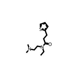 CCN(CCN(C)C)C(=O)CCc1cccs1